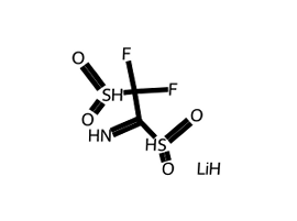 N=C([SH](=O)=O)C(F)(F)[SH](=O)=O.[LiH]